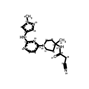 Cn1cc(Nc2nccc(N3CCC(C)(NC(=O)CC#N)CC3)n2)cn1